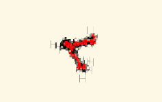 CN(CCCC(=O)Nc1cccc(OCCCNC[C@H](O)c2ccc(O)c3[nH]c(=O)ccc23)c1)C(=O)CCN1CCC(OC(=O)Nc2ccccc2-c2ccccc2)CC1.O=C(O)C(F)(F)F.O=C(O)C(F)(F)F